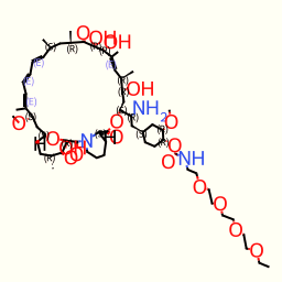 CCOCCOCCOCCOCCNC(=O)O[C@@H]1CC[C@@H](C[C@@H](N)[C@@H]2C[C@@H](O)[C@H](C)/C=C(\C)[C@@H](O)[C@@H](O)C(=O)[C@H](C)C[C@H](C)/C=C/C=C/C=C(\C)[C@@H](OC)C[C@@H]3CC[C@@H](C)C(=O)[C@@](O)(O3)C(=O)N3CCCC[C@H]3C(=O)O2)C[C@H]1OC